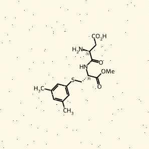 COC(=O)[C@H](CSc1cc(C)cc(C)c1)NC(=O)[C@@H](N)CC(=O)O